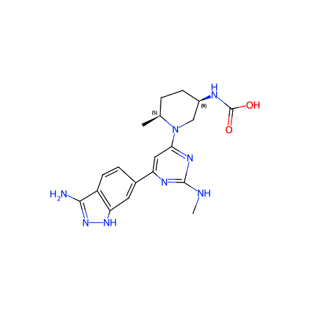 CNc1nc(-c2ccc3c(N)n[nH]c3c2)cc(N2C[C@H](NC(=O)O)CC[C@@H]2C)n1